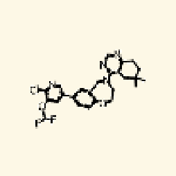 CC1(C)CCc2ncnc(N3CCOc4ccc(-c5cnc(Cl)c(OC(F)F)c5)cc4C3)c2C1